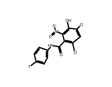 O=C(Nc1ccc(F)cc1)c1c(Cl)cc(Cl)c(O)c1[N+](=O)[O-]